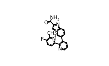 Cc1nc(-c2ncccc2-c2ccc3nc(C(N)=O)cn3c2)ccc1F